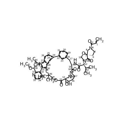 C=CC(=O)N1CC[C@@]2(C1)OCN([C@H](C(=O)N[C@H]1Cc3cccc(c3)-c3ccc4c(c3)c(c(-c3cccnc3[C@H](C)OC)n4CC)CC(C)(C)COC(=O)[C@@]3(O)CCCN(N3)C1=O)C(C)C)C2=O